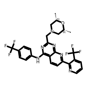 C[C@@H]1CN(Cc2nc(Nc3ccc(C(F)(F)F)cc3)c3ccc(-c4ncccc4C(F)(F)F)nc3n2)C[C@H](C)O1